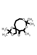 CC1OC(C)(C)OCCCC2(COC(C)(C)O2)C1=O